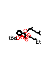 CCC=CCCOc1c(OCC=C(C)CCC=C(C)C)c2cccc(OC(C)(C)C)c2oc1=O